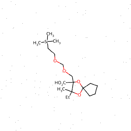 CCC1(C)OC2(CCCC2)OC1(COCOCC[Si](C)(C)C)C(=O)O